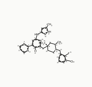 Cc1cc(Nc2cc(-c3ncccn3)c(Cl)c(C[C@@]3(C(=O)O)CCN(Cc4cccc(Cl)c4F)[C@H](C)C3)n2)n[nH]1